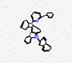 c1ccc(-c2cccc(-n3c4ccccc4c4c5c6ccccc6n(-c6ccc7ccccc7c6)c5ccc43)n2)cc1